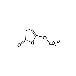 O=C(O)OC1=CCC(=O)O1